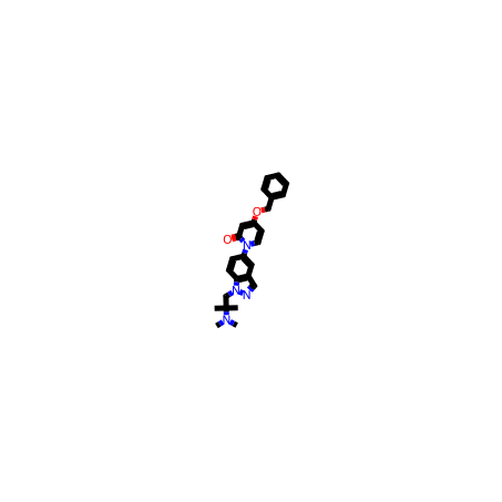 CN(C)C(C)(C)Cn1ncc2cc(-n3ccc(OCc4ccccc4)cc3=O)ccc21